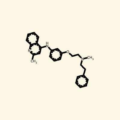 Cc1cc(Nc2cccc(OCCN(C)CCc3ccccc3)c2)c2ccccc2n1